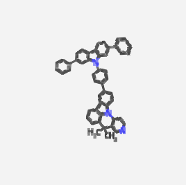 CC1(C)c2cnccc2-n2c3ccc(-c4ccc(-n5c6cc(-c7ccccc7)ccc6c6ccc(-c7ccccc7)cc65)cc4)cc3c3cccc1c32